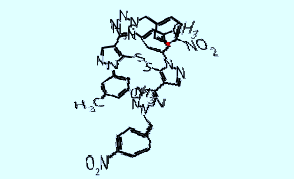 Cc1cc(C)cc(-n2ncc(-c3nnn(Cc4ccc([N+](=O)[O-])cc4)n3)c2SSc2c(-c3nnn(Cc4ccc([N+](=O)[O-])cc4)n3)cnn2-c2cc(C)cc(C)c2)c1